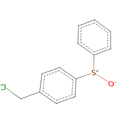 [O-][S+](c1ccccc1)c1ccc(CCl)cc1